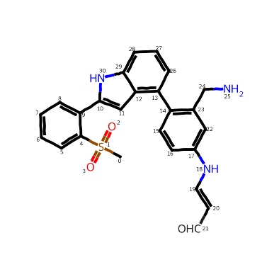 CS(=O)(=O)c1ccccc1-c1cc2c(-c3ccc(NC=CC=O)cc3CN)cccc2[nH]1